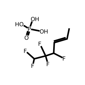 CC=CC(F)C(F)(F)C(F)F.O=P(O)(O)O